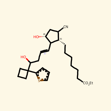 CCOC(=O)CCCCCC[C@H]1C(C#N)C[C@@H](O)C1/C=C/CC(O)C1(c2cccs2)CCC1